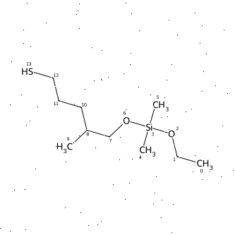 CCO[Si](C)(C)OCC(C)CCCS